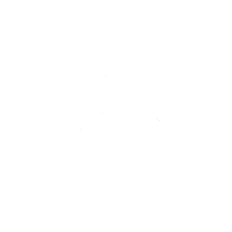 CN1CCC(c2c[nH]c3ccc(C(=O)O)nc23)CC1.Cl.Cl